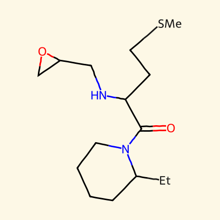 CCC1CCCCN1C(=O)C(CCSC)NCC1CO1